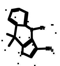 CC(C)B1c2ccccc2C(C)(C)c2scc(N)c21